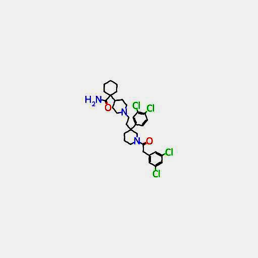 NC(=O)C1(C2CCN(CCC3(c4ccc(Cl)c(Cl)c4)CCCN(C(=O)Cc4cc(Cl)cc(Cl)c4)C3)CC2)CCCCC1